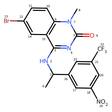 CC(Nc1nc(=O)n(C)c2ccc(Br)cc12)c1cc([N+](=O)[O-])cc(C(F)(F)F)c1